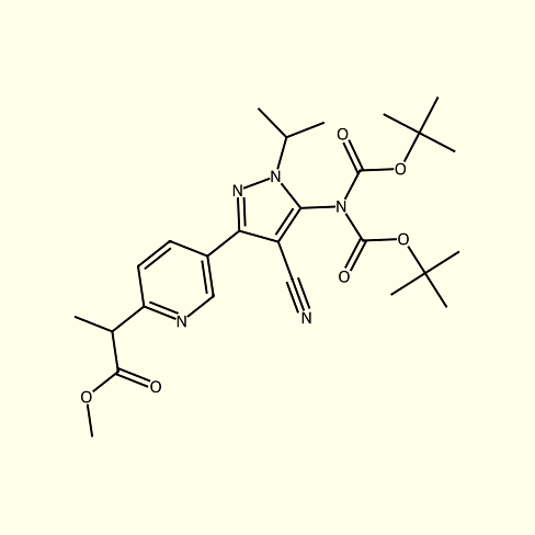 COC(=O)C(C)c1ccc(-c2nn(C(C)C)c(N(C(=O)OC(C)(C)C)C(=O)OC(C)(C)C)c2C#N)cn1